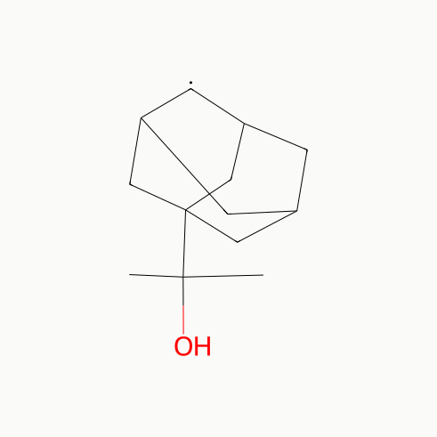 CC(C)(O)C12CC3[CH]C(CC(C3)C1)C2